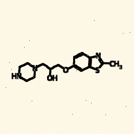 Cc1nc2ccc(OCC(O)CN3CCNCC3)cc2s1